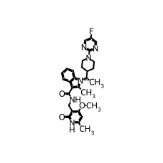 COc1cc(C)[nH]c(=O)c1CNC(=O)c1c(C)n([C@H](C)C2CCN(c3ncc(F)cn3)CC2)c2ccccc12